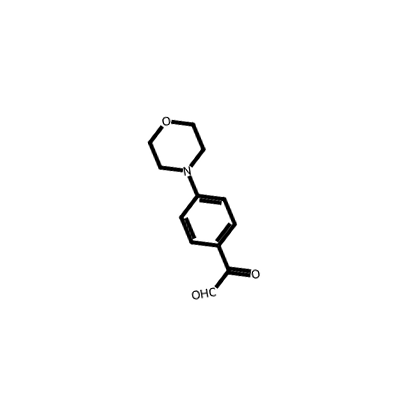 O=CC(=O)c1ccc(N2CCOCC2)cc1